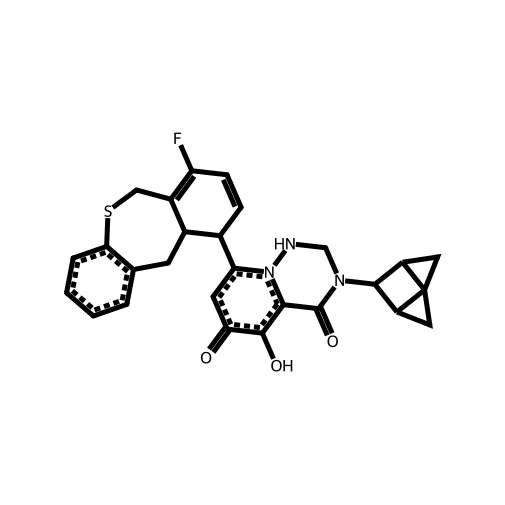 O=C1c2c(O)c(=O)cc(C3C=CC(F)=C4CSc5ccccc5CC43)n2NCN1C1C2CC23CC13